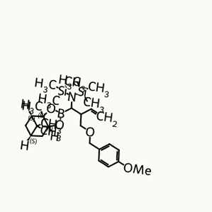 C=CC(COCc1ccc(OC)cc1)C(B1O[C@@H]2C[C@@H]3C[C@@H](C3(C)C)[C@]2(C)O1)N([Si](C)(C)C)[Si](C)(C)C